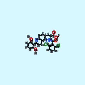 COC(=O)[C@H](Cc1ccc2nc(-c3c(OC)cccc3OC)ccc2c1)NC(=O)c1c(Cl)cccc1Cl